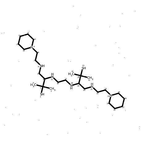 CC(C)(S)C(CNCCN1CCCCC1)NCCNC(CNCCN1CCCCC1)C(C)(C)S